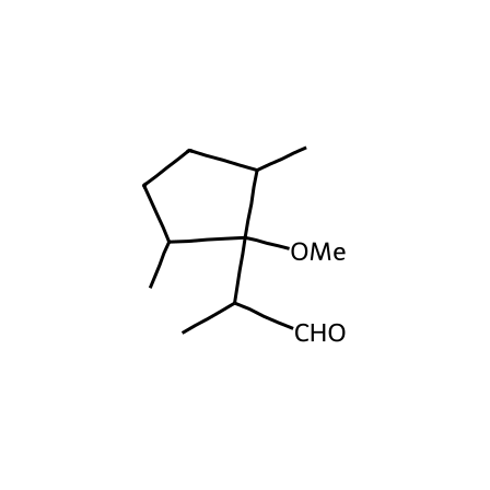 COC1(C(C)C=O)C(C)CCC1C